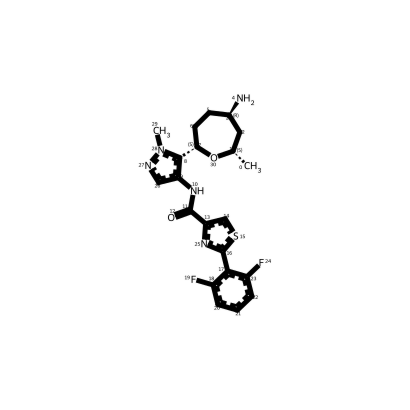 C[C@H]1C[C@H](N)CC[C@@H](c2c(NC(=O)c3csc(-c4c(F)cccc4F)n3)cnn2C)O1